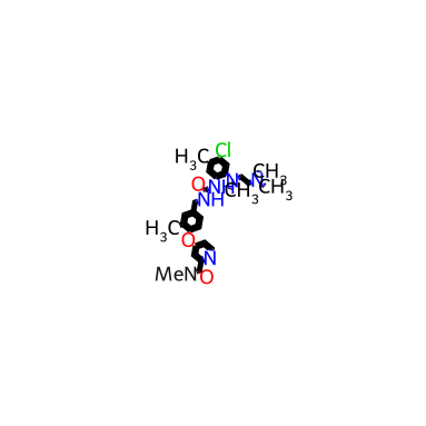 CNC(=O)c1cc(Oc2ccc(CNC(=O)Nc3cc(C)c(Cl)cc3N(C)CCN(C)C)cc2C)ccn1